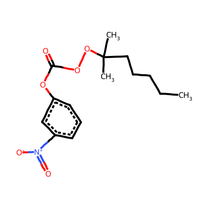 CCCCCC(C)(C)OOC(=O)Oc1cccc([N+](=O)[O-])c1